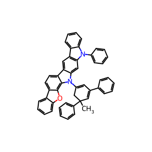 CC1(c2ccccc2)C=C(c2ccccc2)C=C(n2c3cc4c(cc3c3ccc5c6ccccc6oc5c32)c2ccccc2n4-c2ccccc2)C1